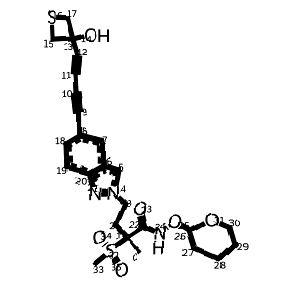 C[C@@](CCn1cc2cc(C#CC#CC3(O)CSC3)ccc2n1)(C(=O)NOC1CCCCO1)S(C)(=O)=O